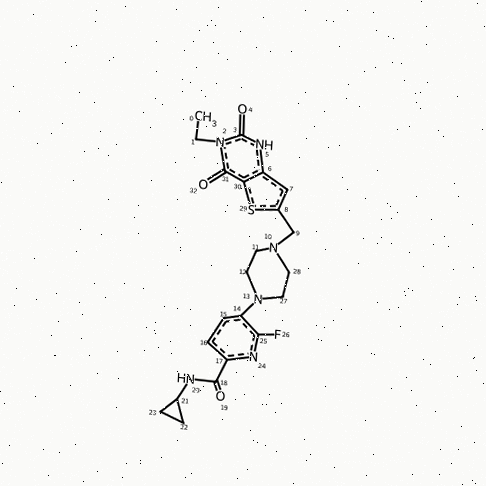 CCn1c(=O)[nH]c2cc(CN3CCN(c4ccc(C(=O)NC5CC5)nc4F)CC3)sc2c1=O